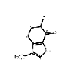 CCOC(=O)c1csc2c1CCC(C)C2=O